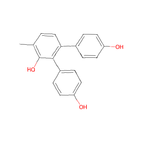 Cc1ccc(-c2ccc(O)cc2)c(-c2ccc(O)cc2)c1O